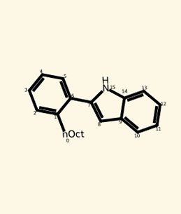 CCCCCCCCc1ccccc1-c1cc2ccccc2[nH]1